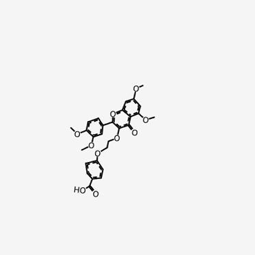 COc1cc(OC)c2c(=O)c(OCCOc3ccc(C(=O)O)cc3)c(-c3ccc(OC)c(OC)c3)oc2c1